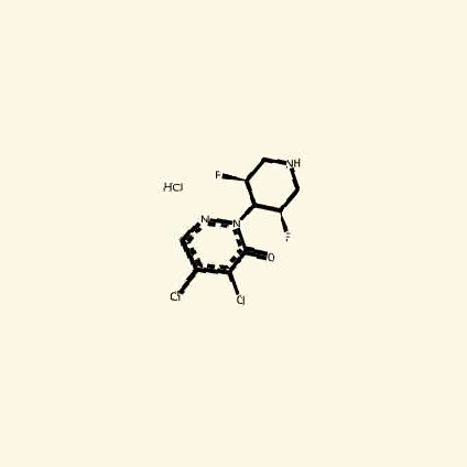 Cl.O=c1c(Cl)c(Cl)cnn1C1[C@H](F)CNC[C@@H]1F